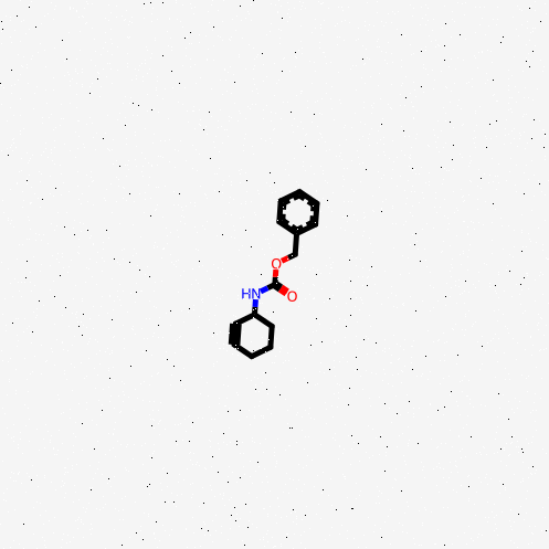 O=C(NC1C#CCCC1)OCc1ccccc1